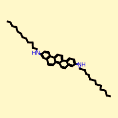 CCCCCCCCCCCCNc1ccc2c(ccc3c2ccc2c4ccc(NCCCCCCCCCCCC)cc4ccc23)c1